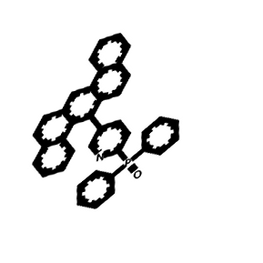 O=P(c1ccccc1)(c1ccccc1)c1ccc(-c2c3ccc4ccccc4c3cc3ccc4ccccc4c23)cn1